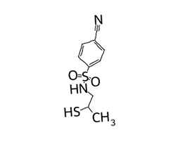 CC(S)CNS(=O)(=O)c1ccc(C#N)cc1